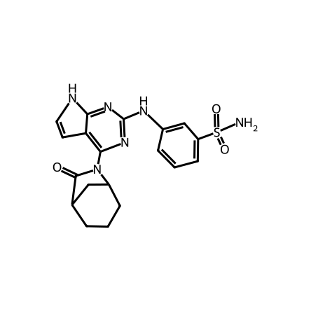 NS(=O)(=O)c1cccc(Nc2nc(N3C(=O)C4CCCC3C4)c3cc[nH]c3n2)c1